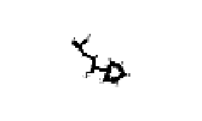 C=C(I)CCC(F)c1ccccc1